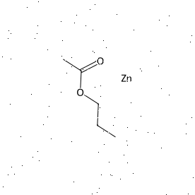 CCCOC(C)=O.[Zn]